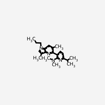 CCCn1cc(C)c2nc(-c3ccc(C(C)C)nc3N(C)C)c(C)cc21